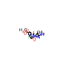 COC(=O)c1ccc(N2C(=S)N(c3cnc(C#N)c(C)c3)C(=O)C23CCC3)c(F)c1